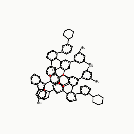 CC(C)(C)c1cc(-c2cc3c(c(-c4c(-c5cccc(C6CCCCC6)c5)cccc4-c4cccc(C5CCCCC5)c4)c2)Nc2cc(-n4c5ccccc5c5cc(C(C)(C)C)ccc54)cc4c2B3c2cc(-c3cc(C(C)(C)C)cc(C(C)(C)C)c3)cc(-c3c(-c5cccc(C6CCCCC6)c5)cccc3-c3cccc(C5CCCCC5)c3)c2N4)cc(C(C)(C)C)c1